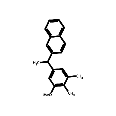 COc1cc(C(C)c2ccc3ccccc3c2)cc(C)c1C